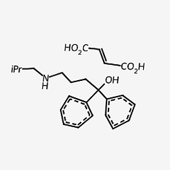 CC(C)CNCCCC(O)(c1ccccc1)c1ccccc1.O=C(O)C=CC(=O)O